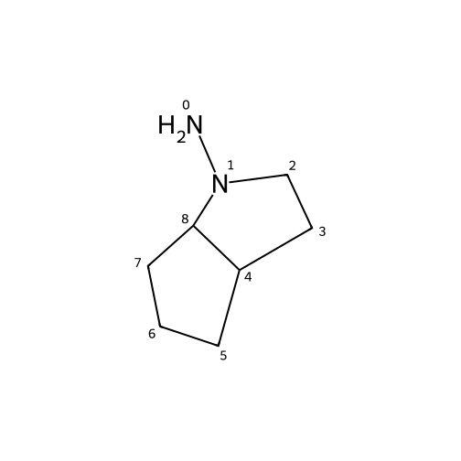 NN1CCC2CCCC21